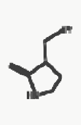 C=C1NCCC1CC(C)C